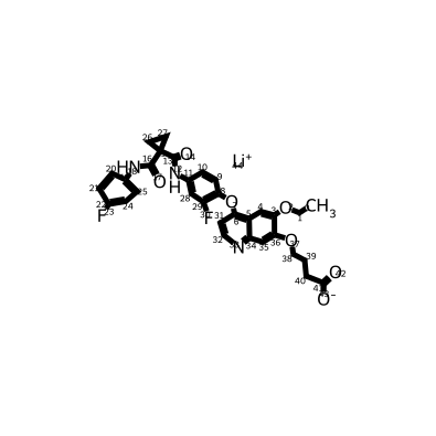 CCOc1cc2c(Oc3ccc(NC(=O)C4(C(=O)Nc5ccc(F)cc5)CC4)cc3F)ccnc2cc1OCCCC(=O)[O-].[Li+]